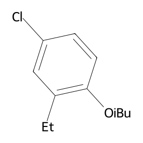 CCc1cc(Cl)ccc1OCC(C)C